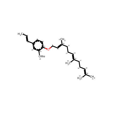 C/C=C/c1ccc(OC/C=C(\C)CC/C=C(\C)CCC=C(C)C)c(OC)c1